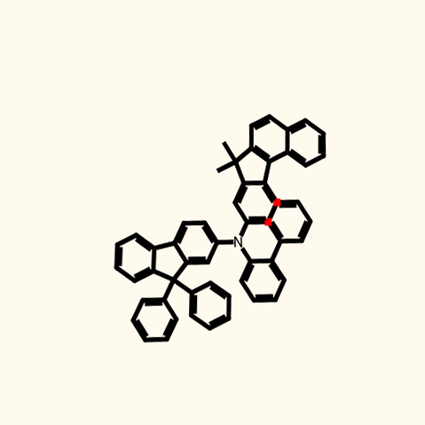 CC1(C)c2cc(N(c3ccc4c(c3)C(c3ccccc3)(c3ccccc3)c3ccccc3-4)c3ccccc3-c3ccccc3)ccc2-c2c1ccc1ccccc21